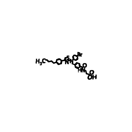 CCCCCc1ccc(-c2csc(N(Cc3ccc(C(=O)NCCC(=O)O)cc3)c3ccc(Br)cc3)n2)cc1